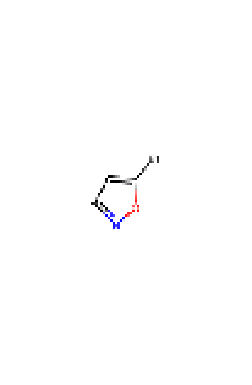 CCc1c[c]no1